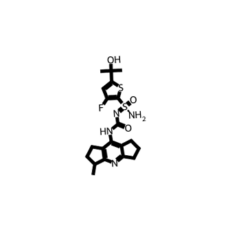 CC1CCc2c1nc1c(c2NC(=O)N=[S@](N)(=O)c2sc(C(C)(C)O)cc2F)CCC1